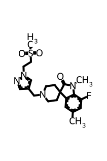 Cc1cc(F)c2c(c1)C1(CCN(Cc3cnn(CCS(C)(=O)=O)c3)CC1)C(=O)N2C